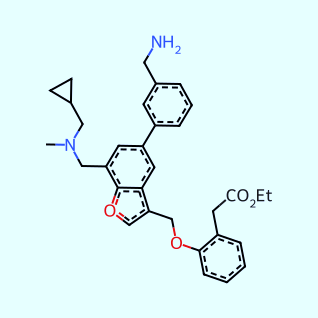 CCOC(=O)Cc1ccccc1OCc1coc2c(CN(C)CC3CC3)cc(-c3cccc(CN)c3)cc12